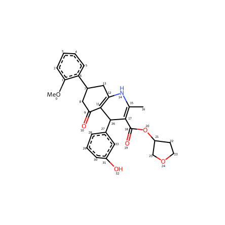 COc1ccccc1C1CC(=O)C2=C(C1)NC(C)=C(C(=O)OC1CCOC1)C2c1cccc(O)c1